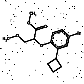 COCC(Oc1ccc(Br)cc1C1CCC1)C(=O)OC